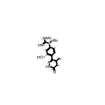 CCCCN(C(=N)NC)c1ccc(C2=NNC(=O)CC2C)cc1.Cl